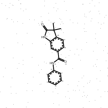 CC1(C)C(=O)Nc2cc(C(=O)Nc3ccccc3)ccc21